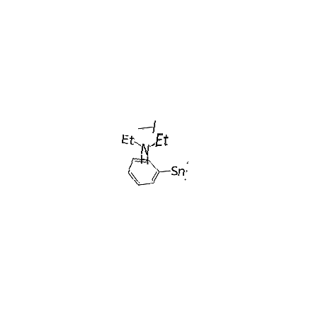 CCNCC.CI.[Sn][c]1ccccc1